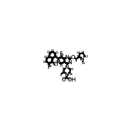 CC1CN(c2nc(OCC3CCCN3C)nc3c(F)c(-c4cccc5ccc(F)c(Cl)c45)ncc23)CCN1C(=O)O